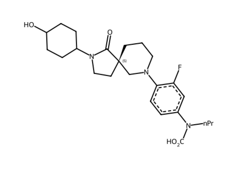 CCCN(C(=O)O)c1ccc(N2CCC[C@]3(CCN(C4CCC(O)CC4)C3=O)C2)c(F)c1